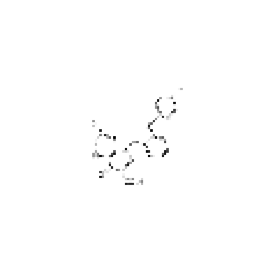 O=C(O)c1cn(Cc2ccccc2Sc2ccc(Cl)cc2)c2cc(Br)cnc2c1=O